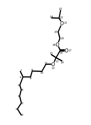 CCCCCCC(C)CCCCOC(C)(C)C(=O)OCCOC(C)C